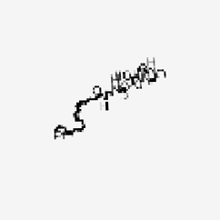 CC/C=C\C/C=C\C/C=C\C/C=C\C/C=C\CCCC(=O)NCCNC(=O)OC[C@H]1O[C@@H](n2ccc(=O)[nH]c2=O)[C@](C)(F)[C@@H]1O